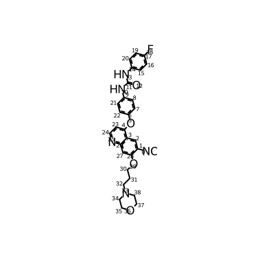 [C-]#[N+]c1cc2c(Oc3ccc(NC(=O)Nc4ccc(F)cc4)cc3)ccnc2cc1OCCCN1CCOCC1